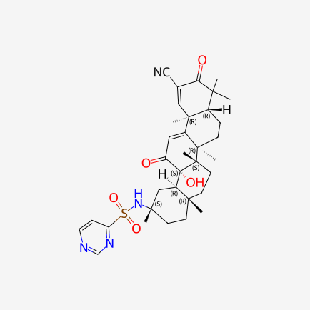 CC1(C)C(=O)C(C#N)=C[C@]2(C)C3=CC(=O)[C@]4(O)[C@@H]5C[C@@](C)(NS(=O)(=O)c6ccncn6)CC[C@@]5(C)CC[C@@]4(C)[C@]3(C)CC[C@@H]12